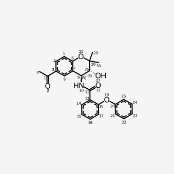 CC(=O)c1ccc2c(c1)[C@H](NC(=O)c1ccccc1Oc1ccccc1)[C@@H](O)C(C)(C)O2